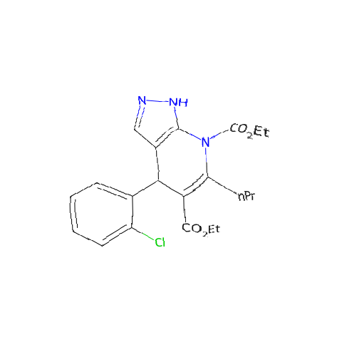 CCCC1=C(C(=O)OCC)C(c2ccccc2Cl)c2cn[nH]c2N1C(=O)OCC